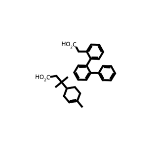 CC1=CCC(C(C)(C)CC(=O)O)CC1.O=C(O)Cc1ccccc1-c1ccccc1-c1ccccc1